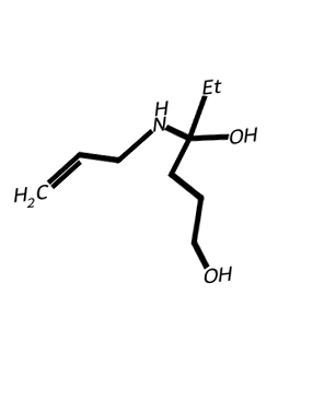 [CH2]CC(O)(CCCO)NCC=C